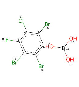 Fc1c(Cl)c(Br)cc(Br)c1Br.OB(O)O